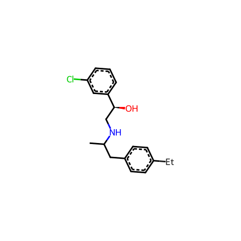 CCc1ccc(CC(C)NC[C@H](O)c2cccc(Cl)c2)cc1